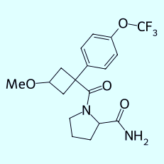 COC1CC(C(=O)N2CCCC2C(N)=O)(c2ccc(OC(F)(F)F)cc2)C1